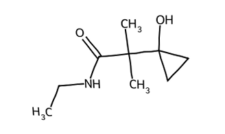 CCNC(=O)C(C)(C)C1(O)CC1